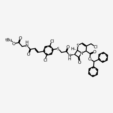 CC(C)(C)OC(=O)CNC(=O)C=Cc1cc(Cl)c(SCC(=O)N[C@@H]2C(=O)N3C(C(=O)OC(c4ccccc4)c4ccccc4)C(CCl)=CS[C@H]23)cc1Cl